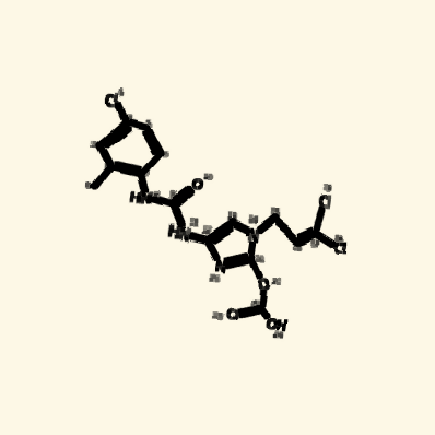 Cc1cc(Cl)ccc1NC(=O)Nc1cn(CC=C(Cl)Cl)c(OC(=O)O)n1